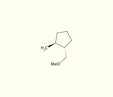 COC[C@H]1CCC[C@@H]1C